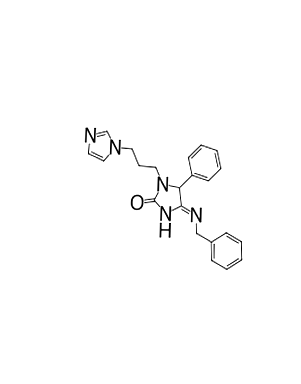 O=C1N/C(=N\Cc2ccccc2)C(c2ccccc2)N1CCCn1ccnc1